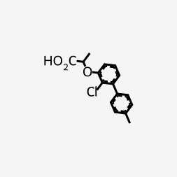 Cc1ccc(-c2cccc(OC(C)C(=O)O)c2Cl)cc1